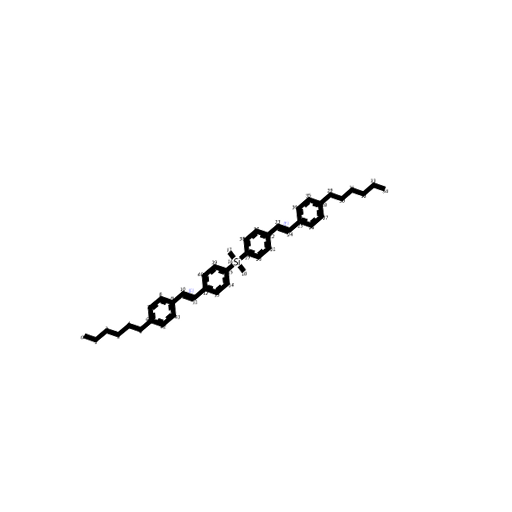 CCCCCCc1ccc(/C=C/c2ccc([Si](C)(C)c3ccc(/C=C/c4ccc(CCCCCC)cc4)cc3)cc2)cc1